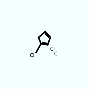 CC1=CC=CC1.[C].[C].[C]